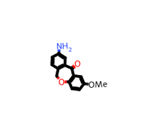 COc1ccc2c(c1)C(=O)c1cc(N)ccc1CO2